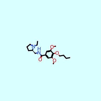 CCCCOc1c(OC)cc(C(=O)NC[C@H]2CCCN2CC)cc1OC